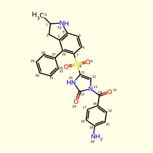 CC1Cc2c(ccc(S(=O)(=O)c3cn(C(=O)c4ccc(N)cc4)c(=O)[nH]3)c2-c2ccccc2)N1